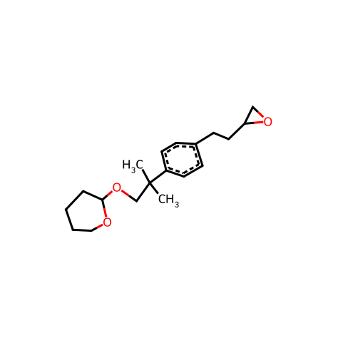 CC(C)(COC1CCCCO1)c1ccc(CCC2CO2)cc1